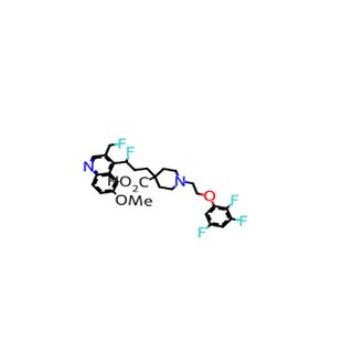 COc1ccc2ncc(CF)c(C(F)CCC3(C(=O)O)CCN(CCOc4cc(F)cc(F)c4F)CC3)c2c1